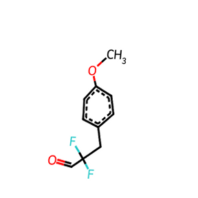 COc1ccc(CC(F)(F)C=O)cc1